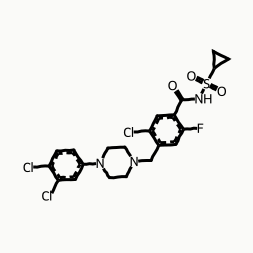 O=C(NS(=O)(=O)C1CC1)c1cc(Cl)c(CN2CCN(c3ccc(Cl)c(Cl)c3)CC2)cc1F